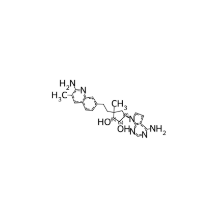 Cc1cc2ccc(CCC3(C)C[C@@H](n4ccc5c(N)ncnc54)[C@H](O)[C@@H]3O)cc2nc1N